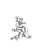 Cc1cc(=O)[nH]c(=O)n1[C@@H]1O[C@H](CO)C(O)[C@]1(N)C#CCF